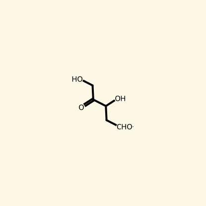 O=[C]CC(O)C(=O)CO